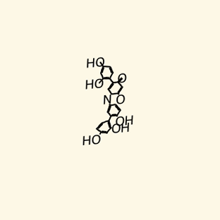 O=c1cc2oc3cc(O)c(-c4ccc(O)cc4O)cc3nc-2cc1-c1ccc(O)cc1O